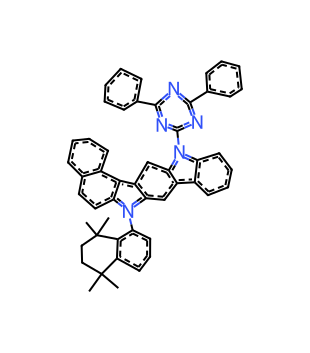 CC1(C)CCC(C)(C)c2c(-n3c4cc5c6ccccc6n(-c6nc(-c7ccccc7)nc(-c7ccccc7)n6)c5cc4c4c5ccccc5ccc43)cccc21